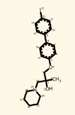 CC(O)(COc1ccc(-c2ccc(I)cc2)cc1)CN1CCCCC1